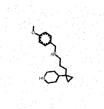 COc1ccc(CNCCCC2(C3CCNCC3)CC2)cc1